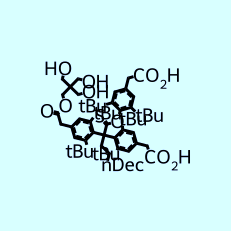 CCCCCCCCCCCCC(C(=S)Oc1c(C(C)(C)C)cc(CC(=O)O)cc1C(C)(C)C)(c1c(C(C)(C)C)cc(CC(=O)O)cc1C(C)(C)C)c1c(C(C)(C)C)cc(CC(=O)OCC(CO)(CO)CO)cc1C(C)(C)C